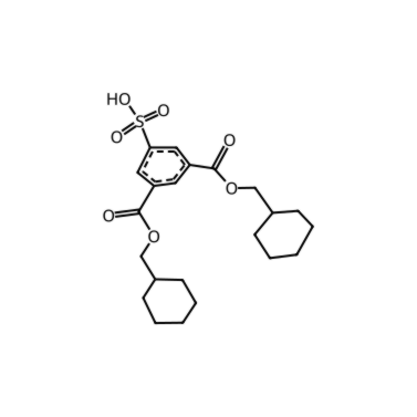 O=C(OCC1CCCCC1)c1cc(C(=O)OCC2CCCCC2)cc(S(=O)(=O)O)c1